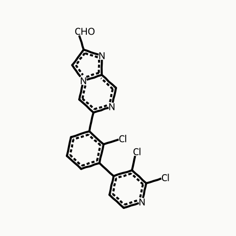 O=Cc1cn2cc(-c3cccc(-c4ccnc(Cl)c4Cl)c3Cl)ncc2n1